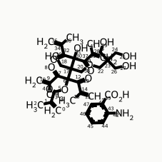 C=C(C)C(=O)OC(C(=O)C(=C)C)(C(=O)C(=C)C)C(CO)(COCC(CO)(CO)CO)C(O)(C(=O)C(=C)C)C(=O)C(=C)C.Nc1ccccc1C(=O)O